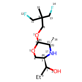 CCC(O)[C@H]1CO[C@@H](OCC(C)(CF)CF)[C@H](C)N1